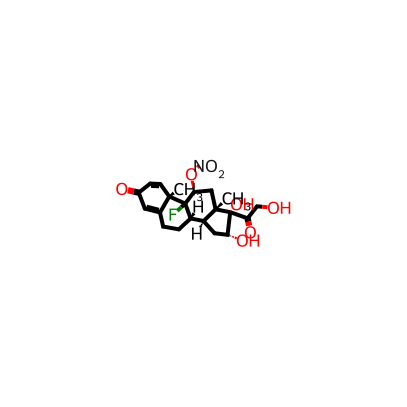 C[C@]12C=CC(=O)C=C1CC[C@H]1[C@@H]3C[C@@H](O)[C@](O)(C(=O)CO)[C@@]3(C)C[C@H](O[N+](=O)[O-])C12F